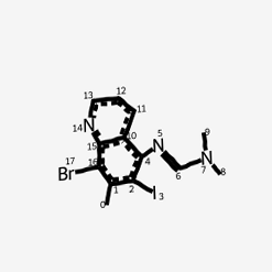 Cc1c(I)c(N=CN(C)C)c2cccnc2c1Br